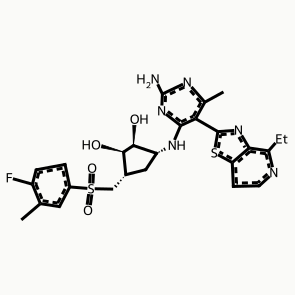 CCc1nccc2sc(-c3c(C)nc(N)nc3N[C@@H]3C[C@H](CS(=O)(=O)c4ccc(F)c(C)c4)[C@@H](O)[C@H]3O)nc12